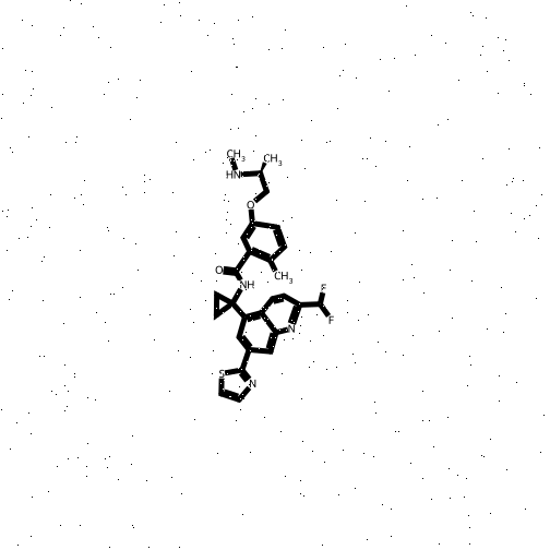 CN[C@@H](C)COc1ccc(C)c(C(=O)NC2(c3cc(-c4nccs4)cc4nc(C(F)F)ccc34)CC2)c1